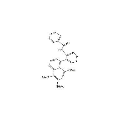 COc1c(NC(C)=O)cc(OC)c2c(-c3ccccc3NC(=O)c3ccccc3)ccnc12